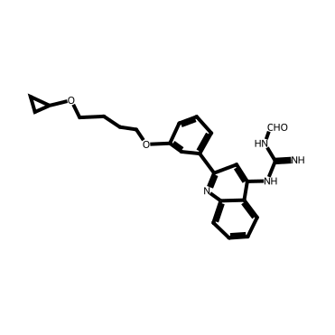 N=C(NC=O)Nc1cc(-c2cccc(OCCCCOC3CC3)c2)nc2ccccc12